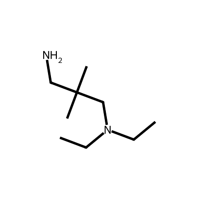 CCN(CC)CC(C)(C)CN